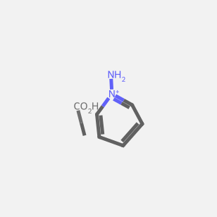 CC(=O)O.N[n+]1ccccc1